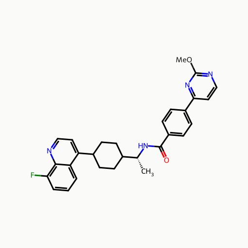 COc1nccc(-c2ccc(C(=O)N[C@H](C)C3CCC(c4ccnc5c(F)cccc45)CC3)cc2)n1